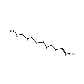 CCCCC=CCCCCCCCCCC=O